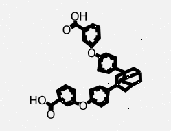 O=C(O)c1cccc(Oc2ccc(C34CC5CC(C3)CC(c3ccc(Oc6cccc(C(=O)O)c6)cc3)(C5)C4)cc2)c1